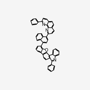 c1ccc(-c2ccc3ccc4ccc(-c5ccc(-c6cccc7c6oc6c7ccc7c(-c8ccccc8)nc8ccccc8c76)c6ccccc56)nc4c3n2)cc1